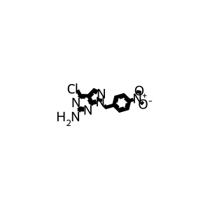 Nc1nc(Cl)c2cnn(Cc3ccc([N+](=O)[O-])cc3)c2n1